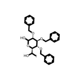 OC(I)[C@H]1OC(O)[C@H](OCc2ccccc2)[C@@H](OCc2ccccc2)[C@@H]1OCc1ccccc1